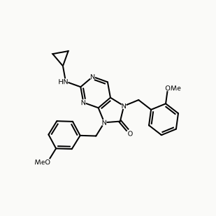 COc1cccc(Cn2c(=O)n(Cc3ccccc3OC)c3cnc(NC4CC4)nc32)c1